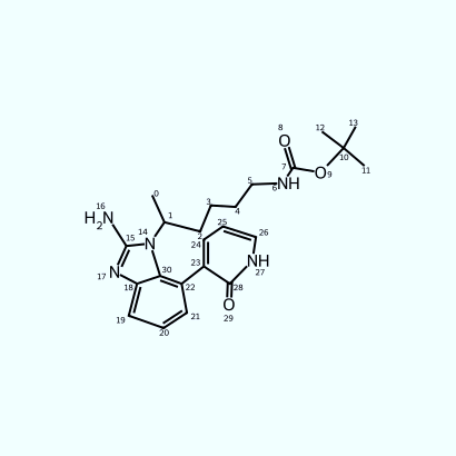 CC(CCCCNC(=O)OC(C)(C)C)n1c(N)nc2cccc(-c3ccc[nH]c3=O)c21